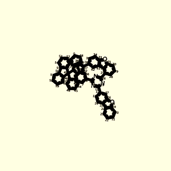 c1ccc(-c2cccc(-c3nc(-c4ccc5c(c4)oc4ccccc45)nc(-c4cccc5oc6ccc(-c7ccc8c(c7)-c7ccccc7C87c8ccccc8-c8ccccc87)cc6c45)n3)c2)cc1